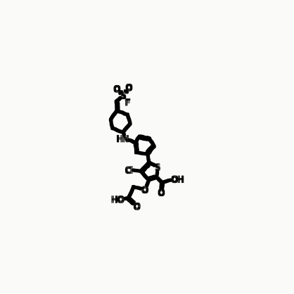 O=C(O)COc1c(C(=O)O)sc(-c2cccc(NC3CCC(=CS(=O)(=O)F)CC3)c2)c1Cl